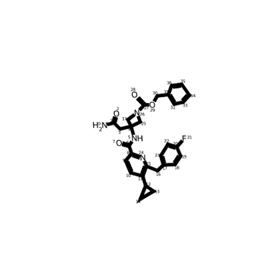 NC(=O)CC1(NC(=O)c2ccc(C3CC3)c(Cc3ccc(F)cc3)n2)CN(C(=O)OCc2ccccc2)C1